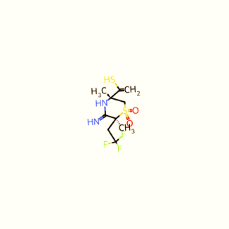 C=C(S)[C@]1(C)CS(=O)(=O)[C@@](C)(CC(F)(F)F)C(=N)N1